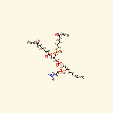 CCCCCCCCCCCCCC[C@H](CCOC(=O)OC[C@@H](COC(=O)CCCCCCC(=O)OC)CO[S@](=O)CCCCCCC(=O)OC)OC(=O)OCCCN(C)C